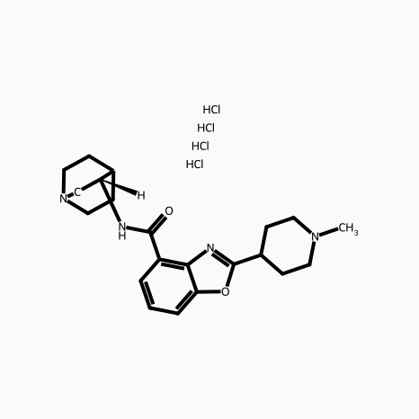 CN1CCC(c2nc3c(C(=O)N[C@@H]4CN5CCC4CC5)cccc3o2)CC1.Cl.Cl.Cl.Cl